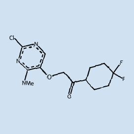 CNc1nc(Cl)ncc1OCC(=O)C1CCC(F)(F)CC1